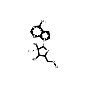 C[C@@]1(O)C(O)C(CON)O[C@H]1n1ccc2c(N)ncnc21